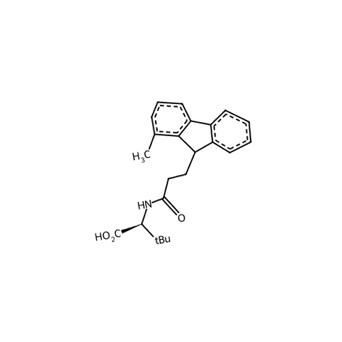 Cc1cccc2c1C(CCC(=O)N[C@H](C(=O)O)C(C)(C)C)c1ccccc1-2